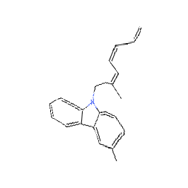 C=C/C=C\C=C(\C)Cn1c2ccccc2c2cc(C)ccc21